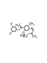 CCN(C)/C=N\c1cc(OC)c(N(C)Cc2cc(F)cc(F)c2)cc1C